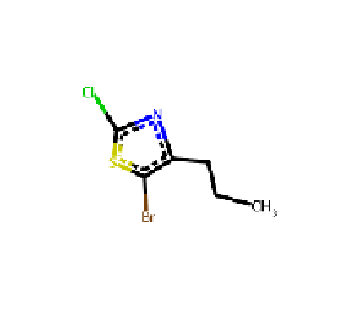 CCCc1nc(Cl)sc1Br